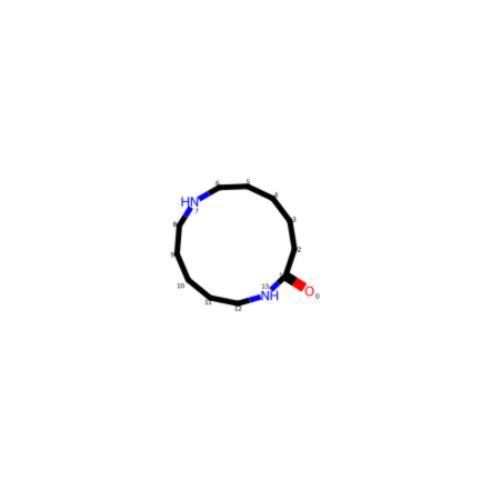 O=C1CCCCCNCCCCCN1